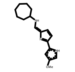 COc1c[nH]c(C2=N/C(=C/NC3CCCCCC3)C=C2)c1